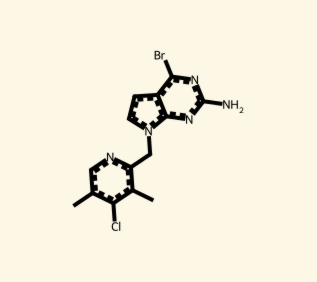 Cc1cnc(Cn2ccc3c(Br)nc(N)nc32)c(C)c1Cl